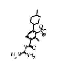 Cc1c(C(=O)N=C(N)N)ccc(C2CCC(C)CC2)c1S(C)(=O)=O